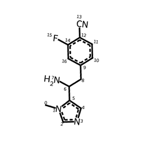 Cn1cncc1C(N)Cc1ccc(C#N)c(F)c1